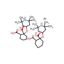 CC1(C)CC(OC2(C(=O)O)CCCCC2C(=O)O)CC(C)(C)N1.CC1(C)CC(OC2(C(=O)O)CCCCC2C(=O)O)CC(C)(C)N1.[Zn]